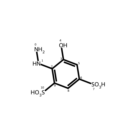 NNc1c(O)cc(S(=O)(=O)O)cc1S(=O)(=O)O